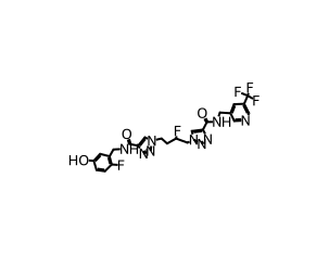 O=C(NCc1cc(O)ccc1F)c1cn(CCC(F)Cn2cc(C(=O)NCc3cncc(C(F)(F)F)c3)nn2)nn1